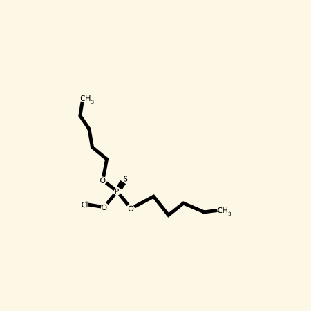 CCCCCOP(=S)(OCl)OCCCCC